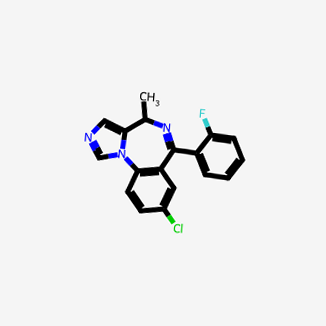 CC1N=C(c2ccccc2F)c2cc(Cl)ccc2-n2cncc21